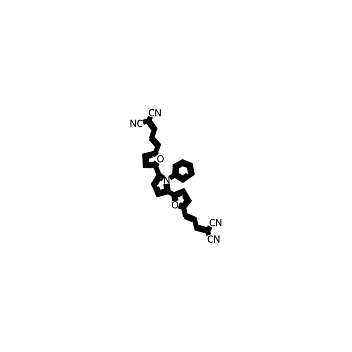 N#CC(C#N)=C/C=C/c1ccc(-c2ccc(-c3ccc(/C=C/C=C(C#N)C#N)o3)n2-c2ccccc2)o1